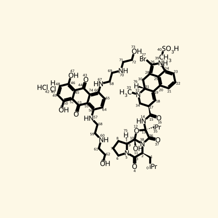 CC(C)C[C@H]1C(=O)N2CCC[C@H]2[C@]2(O)O[C@](NC(=O)[C@@H]3C=C4c5cccc6[nH]c(Br)c(c56)C[C@H]4N(C)C3)(C(C)C)C(=O)N12.CS(=O)(=O)O.Cl.Cl.O=C1c2c(O)ccc(O)c2C(=O)c2c(NCCNCCO)ccc(NCCNCCO)c21